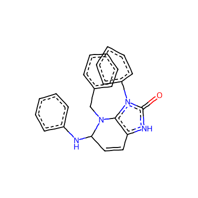 O=c1[nH]c2c(n1-c1ccccc1)N(Cc1ccccc1)C(Nc1ccccc1)C=C2